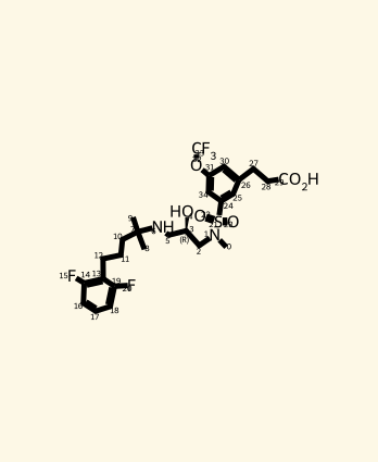 CN(C[C@H](O)CNC(C)(C)CCCc1c(F)cccc1F)S(=O)(=O)c1cc(CCC(=O)O)cc(OC(F)(F)F)c1